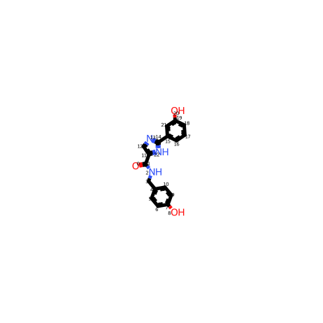 O=C(NCc1ccc(O)cc1)c1cnc(-c2cccc(O)c2)[nH]1